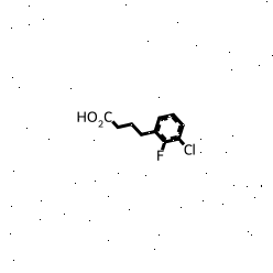 O=C(O)CCCc1cccc(Cl)c1F